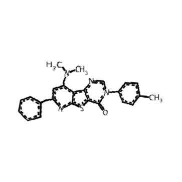 Cc1ccc(-n2cnc3c(sc4nc(-c5ccccc5)cc(N(C)C)c43)c2=O)cc1